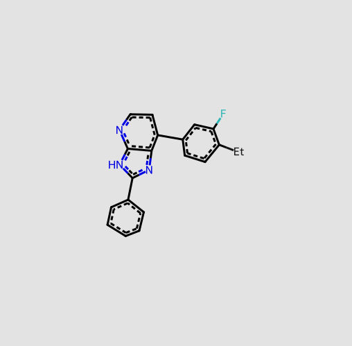 CCc1ccc(-c2ccnc3[nH]c(-c4ccccc4)nc23)cc1F